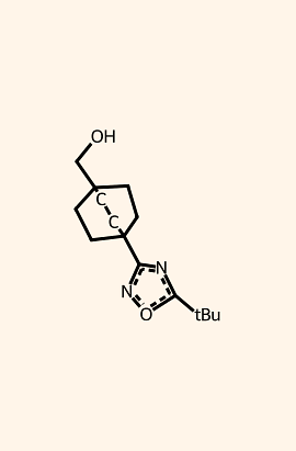 CC(C)(C)c1nc(C23CCC(CO)(CC2)CC3)no1